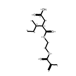 C=C(C)C(=O)OCCOC(=O)C(CC(=O)O)C(C)CC